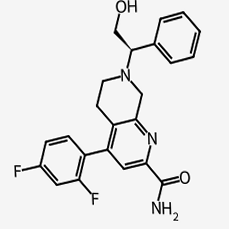 NC(=O)c1cc(-c2ccc(F)cc2F)c2c(n1)CN([C@@H](CO)c1ccccc1)CC2